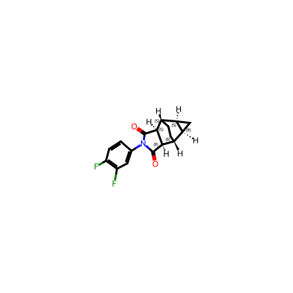 O=C1[C@@H]2[C@@H]3CC[C@@H]([C@H]4C[C@H]43)[C@@H]2C(=O)N1c1ccc(F)c(F)c1